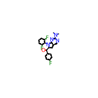 CN(C)c1ncc2cc(C(=O)c3ccc(F)cc3)n(-c3c(F)cccc3F)c2n1